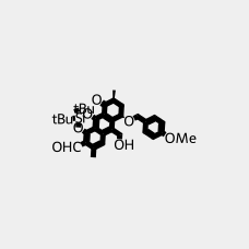 COc1ccc(CO[C@H]2C[C@H](C)C(=O)c3c2c(CO)c2cc(C)c(C=O)c4c2c3O[Si](C(C)(C)C)(C(C)(C)C)O4)cc1